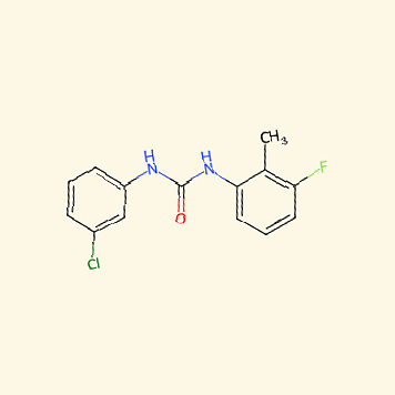 Cc1c(F)cccc1NC(=O)Nc1cccc(Cl)c1